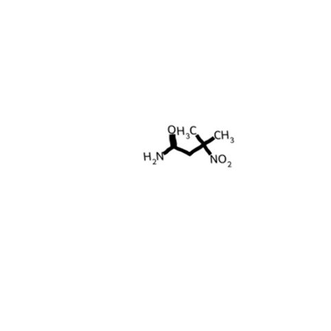 CC(C)(CC(N)=O)[N+](=O)[O-]